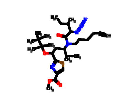 C#CCCCCN(C(=O)C(N=[N+]=[N-])C(C)CC)C(CC(O[Si](C)(C)C(C)(C)C)c1nc(C(=O)OC)cs1)C(C)C